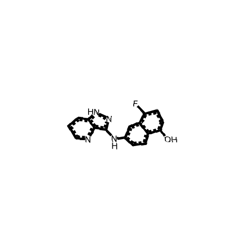 Oc1ccc(F)c2cc(Nc3n[nH]c4cccnc34)ccc12